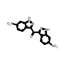 O=C(c1n[nH]c2cc([N+](=O)[O-])ccc12)c1n[nH]c2cc([N+](=O)[O-])ccc12